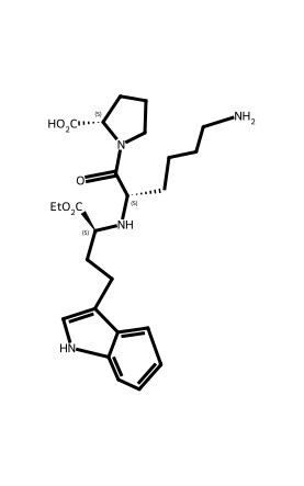 CCOC(=O)[C@H](CCc1c[nH]c2ccccc12)N[C@@H](CCCCN)C(=O)N1CCC[C@H]1C(=O)O